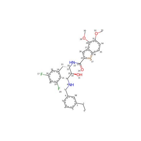 CCc1cccc(CNC[C@H](O)[C@H](Cc2cc(F)cc(F)c2)NC(=O)c2cc3c(OC)c(OC)ccc3s2)c1